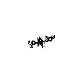 COc1ccc(CCNc2cc(C)nc3c(-c4ccc(OC)c(OC)c4)c(C)nn23)c(OC)c1